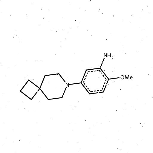 COc1ccc(N2CCC3(CCC3)CC2)cc1N